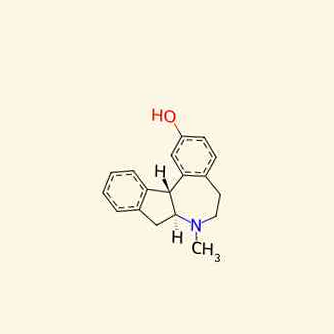 CN1CCc2ccc(O)cc2[C@H]2c3ccccc3C[C@@H]21